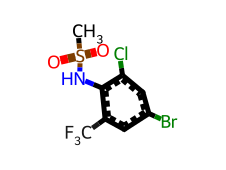 CS(=O)(=O)Nc1c(Cl)cc(Br)cc1C(F)(F)F